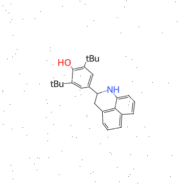 CC(C)(C)c1cc(C2Cc3cccc4cccc(c34)N2)cc(C(C)(C)C)c1O